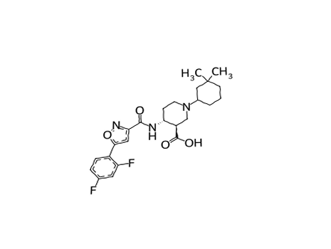 CC1(C)CCCC(N2CC[C@@H](NC(=O)c3cc(-c4ccc(F)cc4F)on3)[C@H](C(=O)O)C2)C1